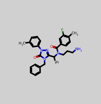 Cc1cccc(-n2nc(C(C(C)C)N(CCCN)C(=O)c3ccc(C)c(F)c3)n(Cc3ccccc3)c2=O)c1